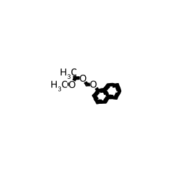 COC(C)OCOc1cccc2ccccc12